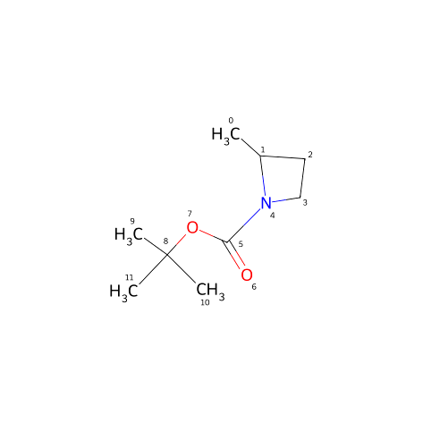 CC1CCN1C(=O)OC(C)(C)C